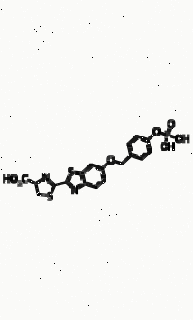 O=C(O)C1CSC(c2nc3ccc(OCc4ccc(OP(=O)(O)O)cc4)cc3s2)=N1